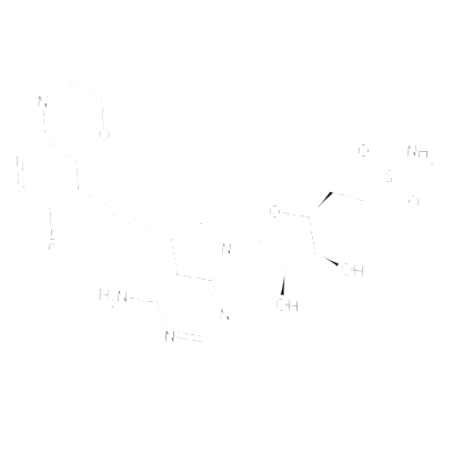 CN1CCOc2c1ccc(F)c2C#Cc1cn([C@@H]2O[C@@H](CCS(N)(=O)=O)[C@@H](O)[C@H]2O)c2ncnc(N)c12